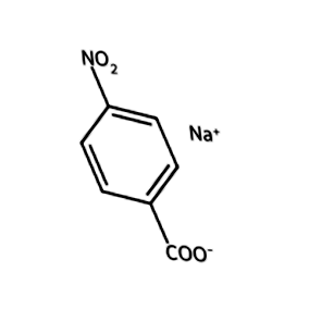 O=C([O-])c1ccc([N+](=O)[O-])cc1.[Na+]